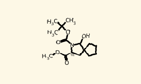 COC(=O)[C@@H]1CC2(CCCC2)C(O)N1C(=O)OC(C)(C)C